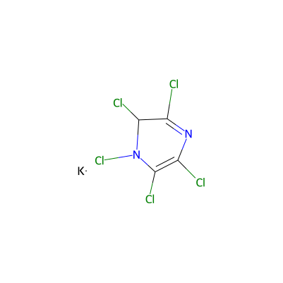 ClC1=NC(Cl)=C(Cl)N(Cl)C1Cl.[K]